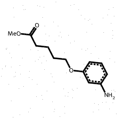 COC(=O)CCCCOc1cccc(N)c1